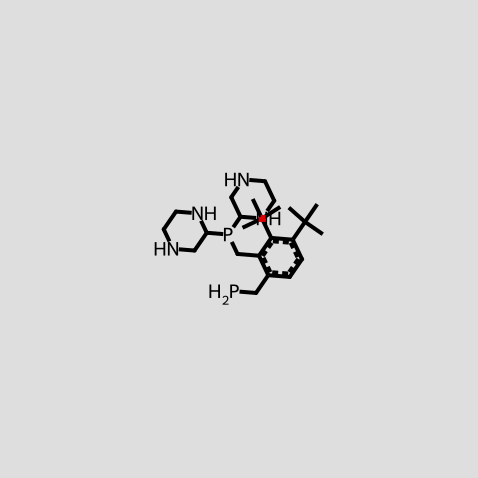 CC(C)(C)c1ccc(CP)c(CP(C2CNCCN2)C2CNCCN2)c1C(C)(C)C